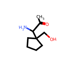 CC(=O)C(N)C1(CO)CCCC1